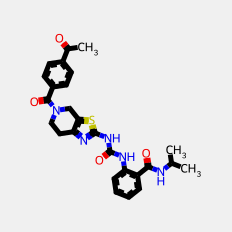 CC(=O)c1ccc(C(=O)N2CCc3nc(NC(=O)Nc4ccccc4C(=O)NC(C)C)sc3C2)cc1